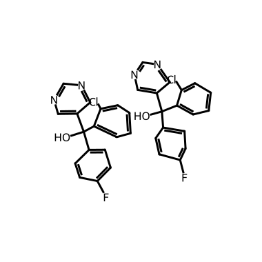 OC(c1ccc(F)cc1)(c1cncnc1)c1ccccc1Cl.OC(c1ccc(F)cc1)(c1cncnc1)c1ccccc1Cl